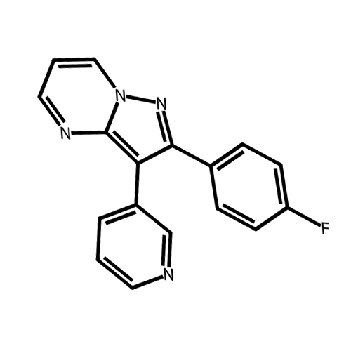 Fc1ccc(-c2nn3cccnc3c2-c2cccnc2)cc1